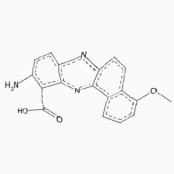 COc1cccc2c1ccc1nc3ccc(N)c(C(=O)O)c3nc12